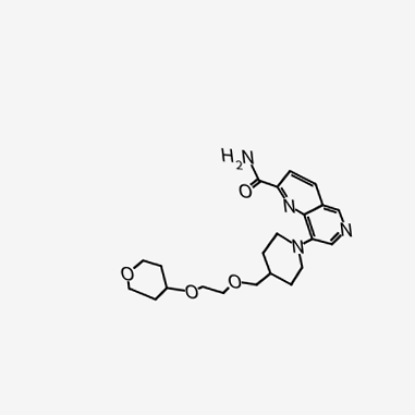 NC(=O)c1ccc2cncc(N3CCC(COCCOC4CCOCC4)CC3)c2n1